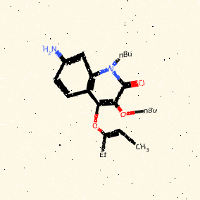 CC=C(CC)Oc1c(OCCCC)c(=O)n(CCCC)c2cc(N)ccc12